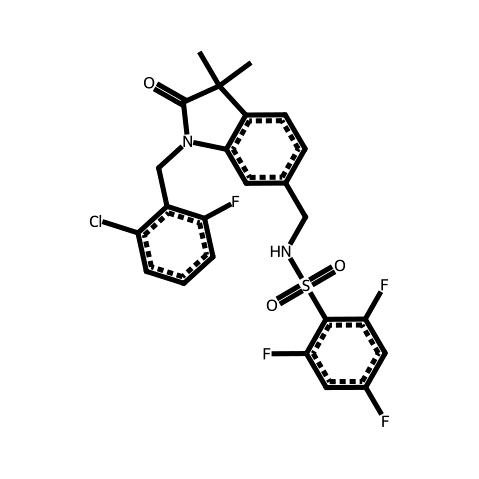 CC1(C)C(=O)N(Cc2c(F)cccc2Cl)c2cc(CNS(=O)(=O)c3c(F)cc(F)cc3F)ccc21